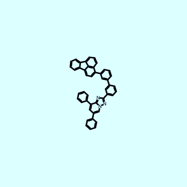 c1ccc(-c2cc(-c3ccccc3)c3nc(-c4cccc(-c5cccc(-c6ccc7c8c(cccc68)-c6ccccc6-7)c5)c4)nn3c2)cc1